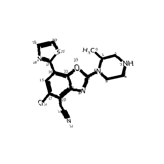 CC1CNCCN1c1nc2c(C#N)c(Cl)cc(-c3nccs3)c2o1